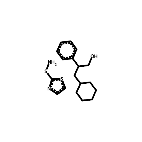 NSc1nccs1.OCC(CC1CCCCC1)c1ccccc1